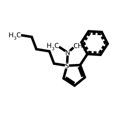 CCCCCS1(N(C)C)C=CC=C1c1ccccc1